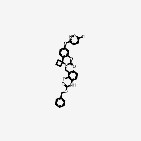 O=C(Nc1cccc(CN2C(=O)Oc3cc(Oc4ccc(Cl)nn4)ccc3C23CCC3)c1F)OCc1ccccc1